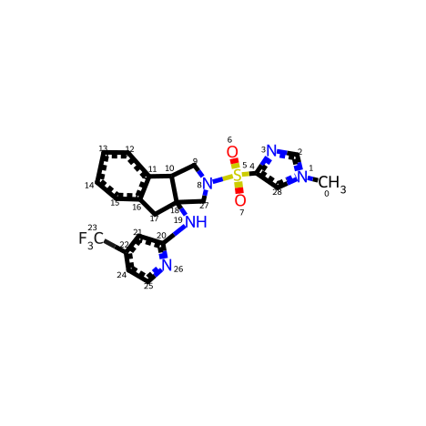 Cn1cnc(S(=O)(=O)N2CC3c4ccccc4CC3(Nc3cc(C(F)(F)F)ccn3)C2)c1